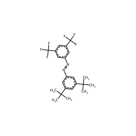 CC(C)(C)c1cc(N=Nc2cc(C(F)(F)F)cc(C(F)(F)F)c2)cc(C(C)(C)C)c1